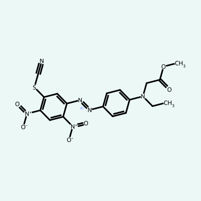 CCN(CC(=O)OC)c1ccc(/N=N/c2cc(SC#N)c([N+](=O)[O-])cc2[N+](=O)[O-])cc1